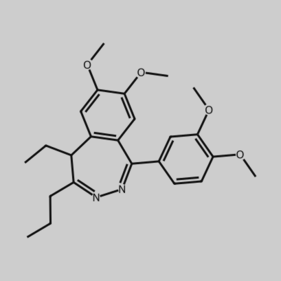 CCCC1=NN=C(c2ccc(OC)c(OC)c2)c2cc(OC)c(OC)cc2C1CC